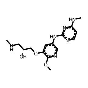 CNC[C@@H](O)COc1cc(Nc2nccc(NC)n2)cnc1OC